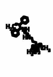 C=CC(c1ccccc1)C(NCCNCCC[Si](OC)(OC)OC)c1ccccc1